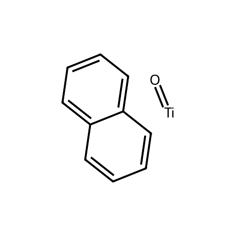 [O]=[Ti].c1ccc2ccccc2c1